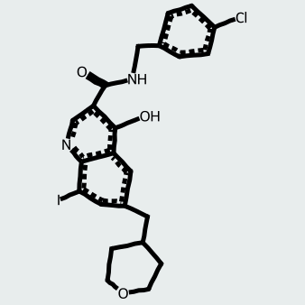 O=C(NCc1ccc(Cl)cc1)c1cnc2c(I)cc(CC3CCOCC3)cc2c1O